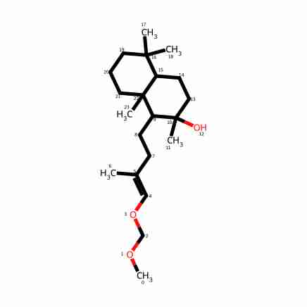 COCO/C=C(\C)CCC1C(C)(O)CCC2C(C)(C)CCCC21C